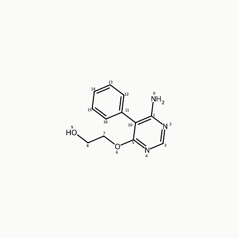 Nc1ncnc(OCCO)c1-c1ccccc1